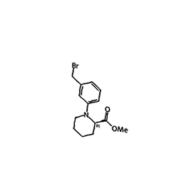 COC(=O)[C@H]1CCCCN1c1cccc(CBr)c1